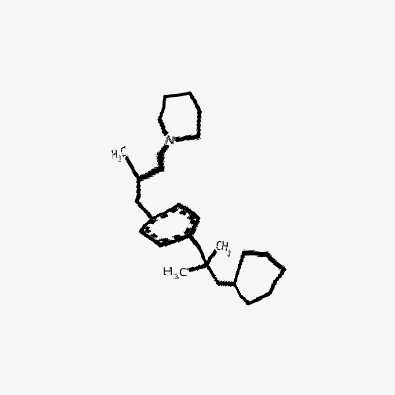 CC(Cc1ccc(C(C)(C)CC2CCCCC2)cc1)CN1CCCCC1